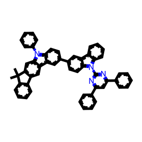 CC1(C)c2ccccc2-c2cc3c4cc(-c5ccc6c(c5)c5ccccc5n6-c5nc(-c6ccccc6)cc(-c6ccccc6)n5)ccc4n(-c4ccccc4)c3cc21